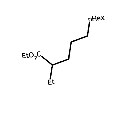 CCCCCCCCCC(CC)C(=O)OCC